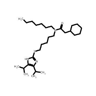 CCCCCCCN(CCCCCSc1nc(C(C)C)c(C(C)C)[nH]1)C(=O)CC1CCCCC1